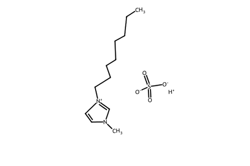 CCCCCCCC[n+]1ccn(C)c1.O=S(=O)([O-])[O-].[H+]